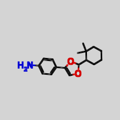 CC1(C)CCCCC1C1OC=C(c2ccc(N)cc2)O1